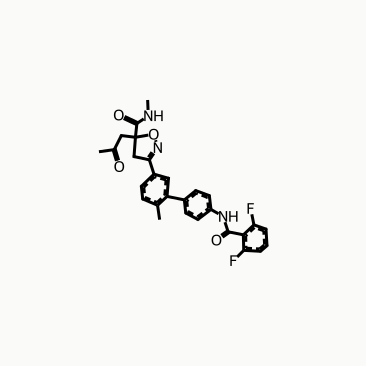 CNC(=O)C1(CC(C)=O)CC(c2ccc(C)c(-c3ccc(NC(=O)c4c(F)cccc4F)cc3)c2)=NO1